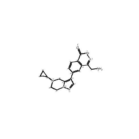 NCc1n[nH]c(=O)c2ccc(-c3cnn4c3CN(C3CC3)CC4)cc12